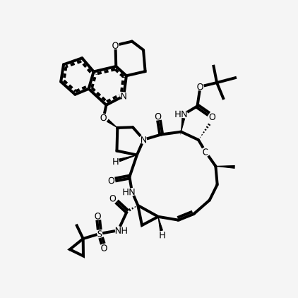 C[C@H]1CC/C=C\[C@@H]2C[C@@]2(C(=O)NS(=O)(=O)C2(C)CC2)NC(=O)[C@@H]2C[C@@H](Oc3nc4c(c5ccccc35)OCCC4)CN2C(=O)[C@@H](NC(=O)OC(C)(C)C)[C@H](C)C1